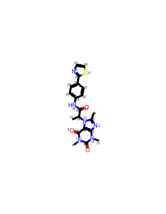 Cc1nc2c(c(=O)n(C)c(=O)n2C)n1C(C)C(=O)Nc1ccc(-c2nccs2)cc1